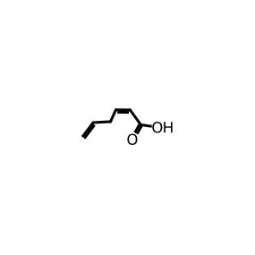 C=CC/C=C\C(=O)O